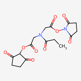 CCC(=O)N(CC(=O)OC1C(=O)CCC1=O)CC(=O)ON1C(=O)CCC1=O